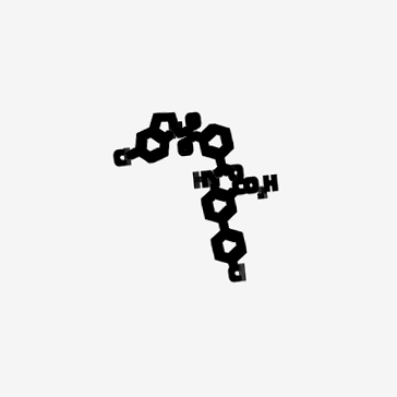 O=C(Nc1ccc(-c2ccc(Cl)cc2)cc1C(=O)O)c1cccc(S(=O)(=O)N2CCc3cc(Cl)ccc32)c1